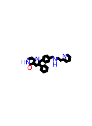 O=c1[nH]ccc2nc(-c3ccc(CNCCc4ccccn4)cc3)c(-c3ccccc3)cc12